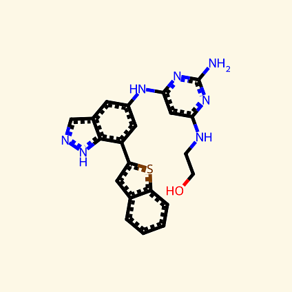 Nc1nc(NCCO)cc(Nc2cc(-c3cc4ccccc4s3)c3[nH]ncc3c2)n1